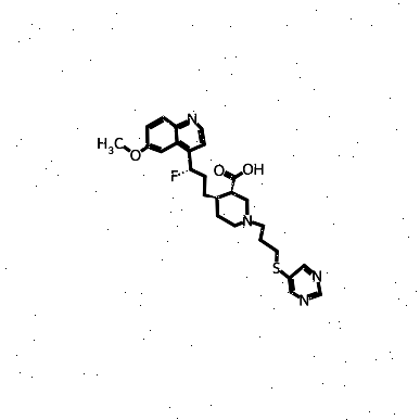 COc1ccc2nccc([C@@H](F)CC[C@@H]3CCN(CCCSc4cncnc4)C[C@@H]3C(=O)O)c2c1